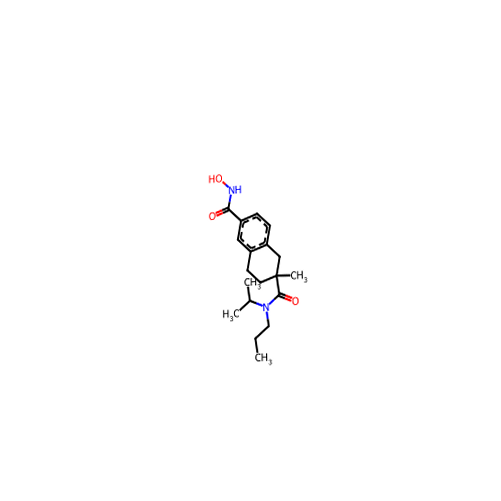 CCCN(C(=O)C1(C)CCc2cc(C(=O)NO)ccc2C1)C(C)C